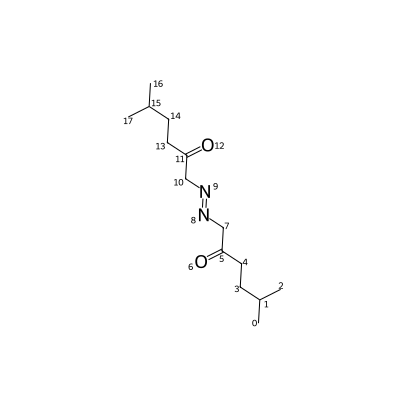 CC(C)CCC(=O)CN=NCC(=O)CCC(C)C